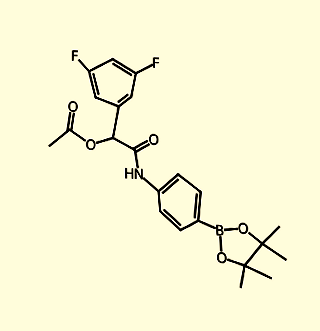 CC(=O)OC(C(=O)Nc1ccc(B2OC(C)(C)C(C)(C)O2)cc1)c1cc(F)cc(F)c1